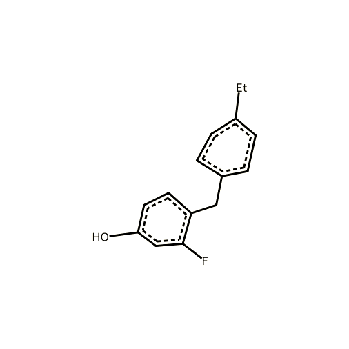 CCc1ccc(Cc2ccc(O)cc2F)cc1